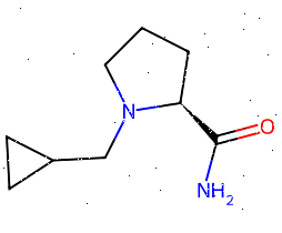 NC(=O)[C@@H]1CCCN1CC1CC1